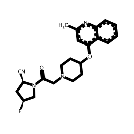 Cc1cc(OC2CCN(CC(=O)N3C[C@@H](F)C[C@H]3C#N)CC2)c2ccccc2n1